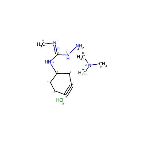 C/N=C(/NN)NC1CC#CCC1.CN(C)C.Cl